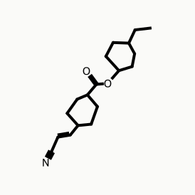 CCC1CCC(OC(=O)C2CCC(/C=C/C#N)CC2)CC1